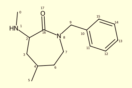 CNC1CC(C)CCN(Cc2ccccc2)C1=O